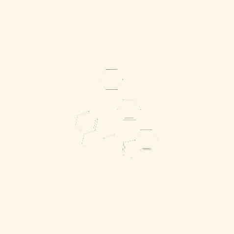 N#Cc1ccccc1CNc1n[nH]c2cccc(-c3ccc(C4=CCCCC4)cc3)c12